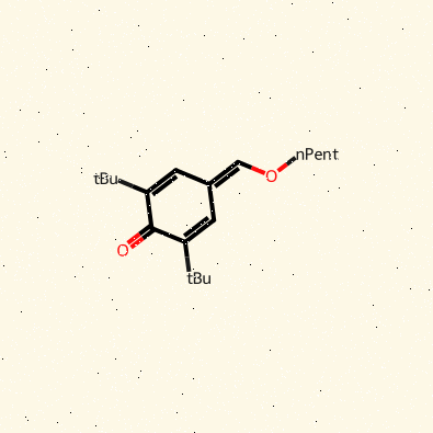 CCCCCOC=C1C=C(C(C)(C)C)C(=O)C(C(C)(C)C)=C1